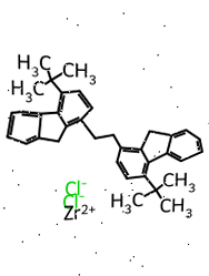 CC(C)(C)c1ccc(CCc2ccc(C(C)(C)C)c3c2Cc2ccccc2-3)c2c1-c1ccccc1C2.[Cl-].[Cl-].[Zr+2]